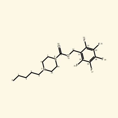 [CH2]CCCCN1CCN(C(=O)OCc2c(F)c(F)c(F)c(F)c2F)CC1